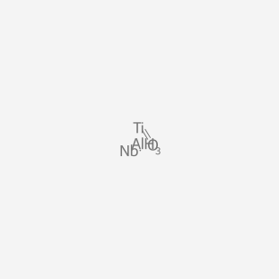 [AlH3].[Nb].[O]=[Ti]